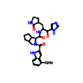 COc1cccc2[nH]c(C(=O)N3CC4CCCC4C3C(=O)NC(CC3CCNC3=O)C(=O)c3cnc[nH]3)cc12